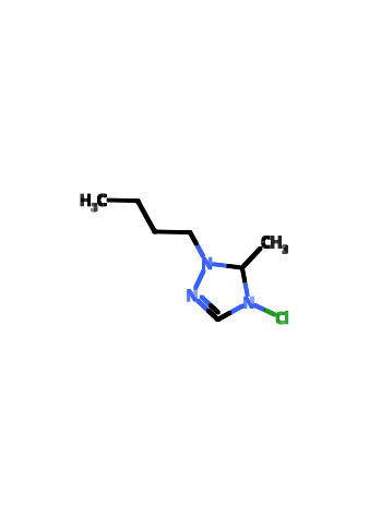 CCCCN1N=CN(Cl)C1C